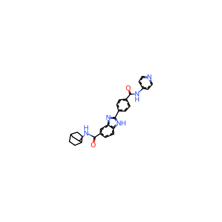 O=C(Nc1ccncc1)c1ccc(-c2nc3cc(C(=O)NC4CC5CCC4CC5)ccc3[nH]2)cc1